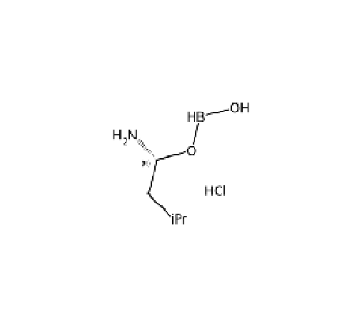 CC(C)C[C@H](N)OBO.Cl